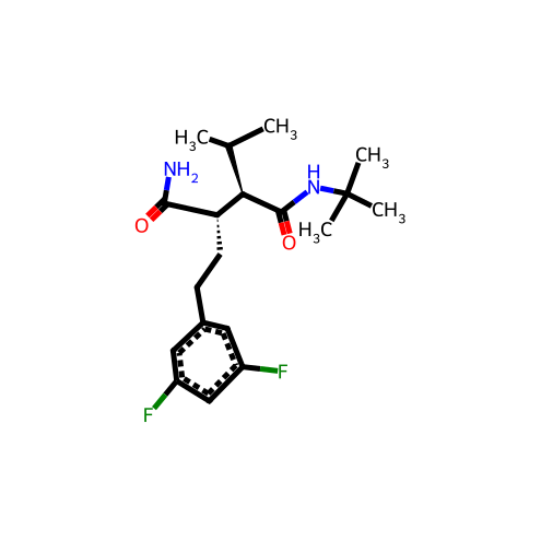 CC(C)[C@@H](C(=O)NC(C)(C)C)[C@H](CCc1cc(F)cc(F)c1)C(N)=O